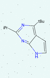 CC(C)c1nc(C(C)(C)C)c2cc[nH]c2n1